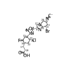 [C-]#[N+]c1cc(Br)c2nc(-c3nc(-c4cc(F)c(CCC(=O)O)cc4Cl)no3)cn2c1